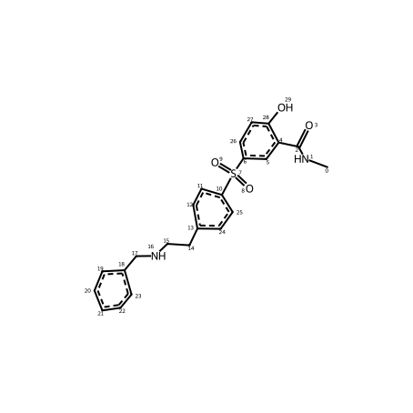 CNC(=O)c1cc(S(=O)(=O)c2ccc(CCNCc3ccccc3)cc2)ccc1O